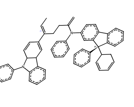 C=C(CC/C(=C\C)C1=CC2c3ccccc3N(c3ccccc3)C2C=C1)N(c1ccccc1)c1ccc2c(c1)[C@@](c1ccccc1)(C1C=CC=CC1)c1ccccc1-2